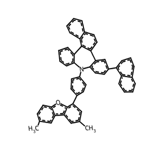 Cc1ccc2oc3c(-c4ccc(N5c6ccc(-c7cccc8ccccc78)cc6-c6ccc7ccccc7c6-c6ccccc65)cc4)cc(C)cc3c2c1